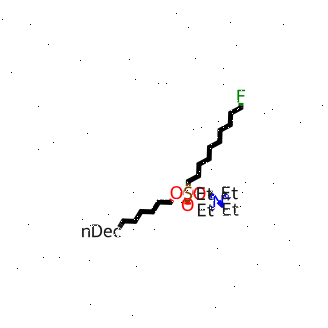 CCCCCCCCCCCCCCCCOS(=O)(=O)CCCCCCCCCCF.CC[N+](CC)(CC)CC